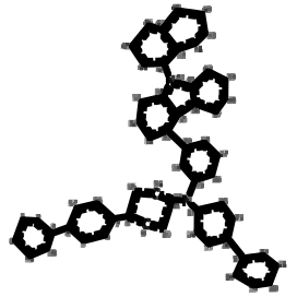 c1ccc(-c2ccc(-c3ccc(N(c4ccc(-c5ccccc5)cc4)c4cccc(-c5cccc6c5c5ccccc5n6-c5cccc6ccccc56)c4)cc3)cc2)cc1